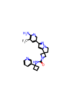 Nc1ncc(-c2cc3n(n2)CCC32CN(C(=O)NC3(c4cccnc4)CCC3)C2)cc1C(F)(F)F